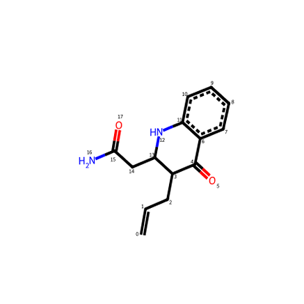 C=CCC1C(=O)c2ccccc2NC1CC(N)=O